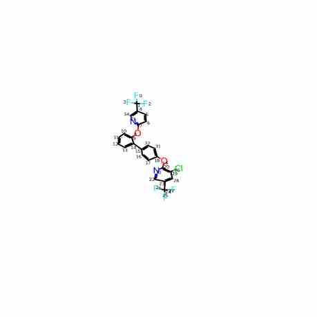 FC(F)(F)c1ccc(Oc2c[c]ccc2-c2ccc(Oc3ncc(C(F)(F)F)cc3Cl)cc2)nc1